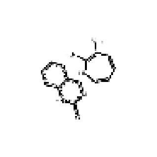 CC1=C(N)NC=CC=C1.O=c1ncc2ccccc2[nH]1